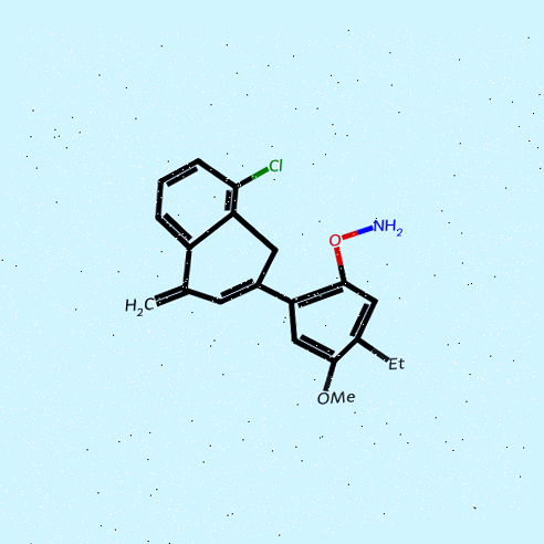 C=C1C=C(c2cc(OC)c(CC)cc2ON)Cc2c(Cl)cccc21